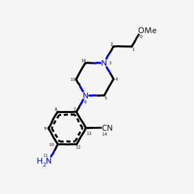 COCCN1CCN(c2ccc(N)cc2C#N)CC1